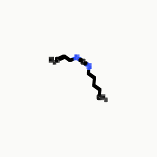 C=CCN=C=NCCCCC